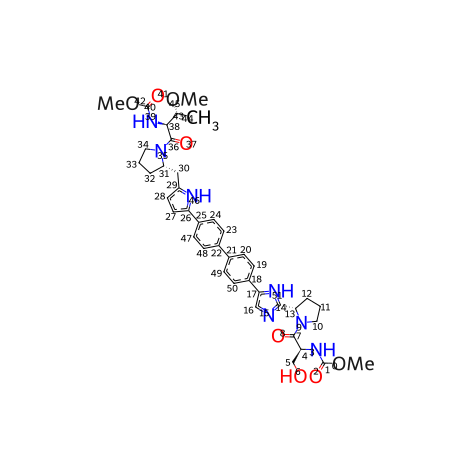 COC(=O)N[C@@H](CO)C(=O)N1CCC[C@H]1c1ncc(-c2ccc(-c3ccc(-c4ccc(C[C@@H]5CCCN5C(=O)[C@@H](NC(=O)OC)[C@@H](C)OC)[nH]4)cc3)cc2)[nH]1